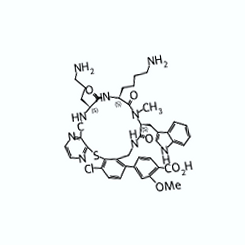 COc1cc(-c2ccc(Cl)c3c2CNC(=O)[C@H](Cc2c[nH]c4ccccc24)N(C)C(=O)[C@H](CCCCN)NC(=O)[C@H](CCCN)NCc2nccnc2S3)ccc1C(=O)O